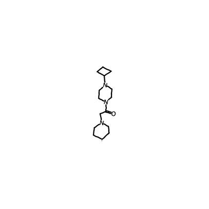 O=C(CN1CC[CH]CC1)N1CCN(C2CCC2)CC1